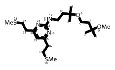 COC(C)(C)CCOC(C)(C)CCNc1nc(CCSC)cc(CCSC)n1